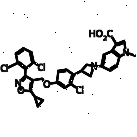 Cn1cc(C(=O)O)c2cc(N3CC(c4ccc(OCc5c(-c6c(Cl)cccc6Cl)noc5C5CC5)cc4Cl)C3)ccc21